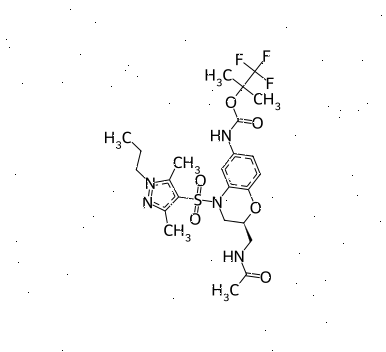 CCCn1nc(C)c(S(=O)(=O)N2C[C@H](CNC(C)=O)Oc3ccc(NC(=O)OC(C)(C)C(F)(F)F)cc32)c1C